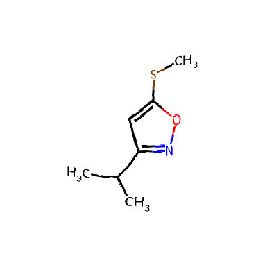 CSc1cc(C(C)C)no1